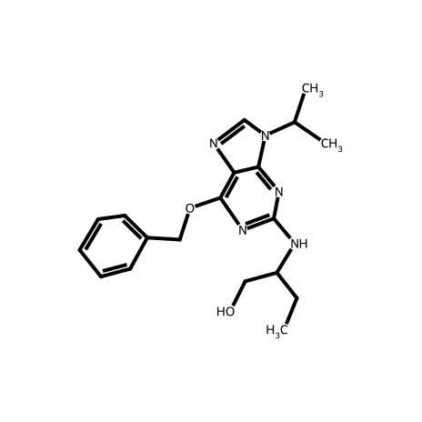 CCC(CO)Nc1nc(OCc2ccccc2)c2ncn(C(C)C)c2n1